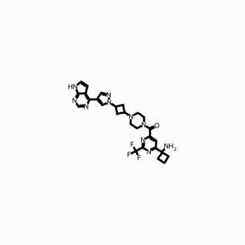 NC1(c2cc(C(=O)N3CCN(C4CC(n5cc(-c6ncnc7[nH]ccc67)cn5)C4)CC3)nc(C(F)(F)F)n2)CCC1